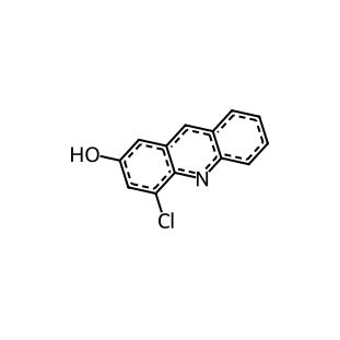 Oc1cc(Cl)c2nc3ccccc3cc2c1